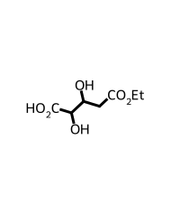 CCOC(=O)CC(O)C(O)C(=O)O